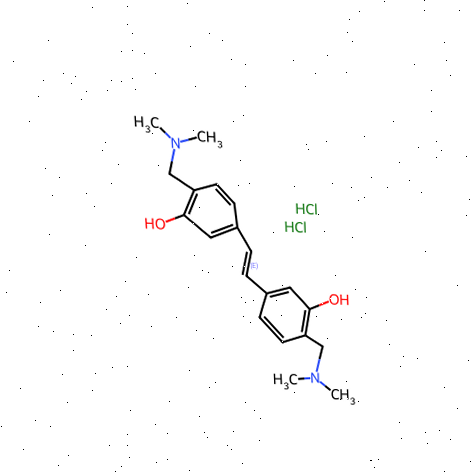 CN(C)Cc1ccc(/C=C/c2ccc(CN(C)C)c(O)c2)cc1O.Cl.Cl